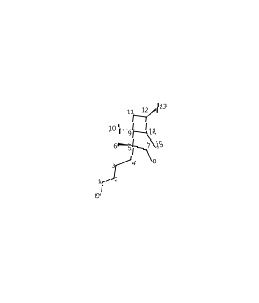 CCCCC[C@@](C)(CC)[C@@]1(I)C[C@@H](I)C1C